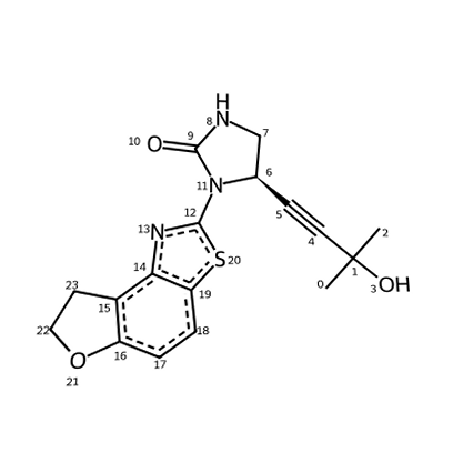 CC(C)(O)C#C[C@@H]1CNC(=O)N1c1nc2c3c(ccc2s1)OCC3